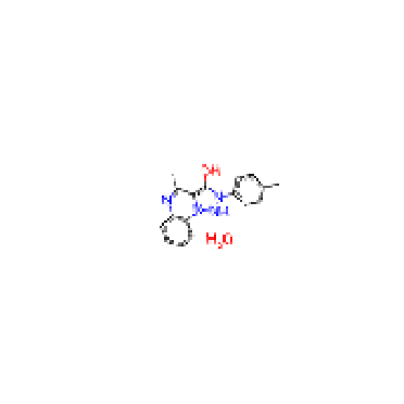 CC1=Nc2ccccc2N2NN(c3ccc(C)cc3)C(O)=C12.O